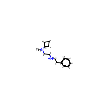 CCN(CCNCCc1ccccc1)C1CCC1